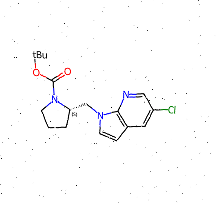 CC(C)(C)OC(=O)N1CCC[C@H]1Cn1ccc2cc(Cl)cnc21